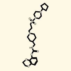 O=C(NCC1CCN(CCCS(=O)(=O)N2CCN(C3CCCC3)CC2)CC1)Oc1cccc2c1OCCO2